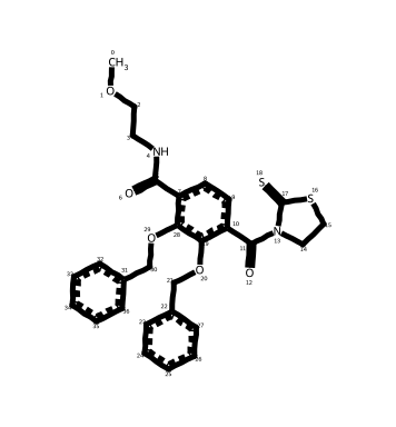 COCCNC(=O)c1ccc(C(=O)N2CCSC2=S)c(OCc2ccccc2)c1OCc1ccccc1